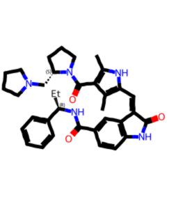 CC[C@@H](NC(=O)c1ccc2c(c1)C(=Cc1[nH]c(C)c(C(=O)N3CCC[C@H]3CN3CCCC3)c1C)C(=O)N2)c1ccccc1